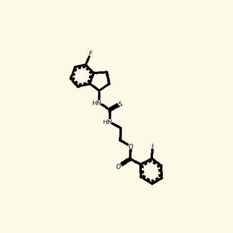 O=C(OCCNC(=S)NC1CCc2c(F)cccc21)c1ccccc1I